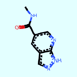 CNC(=O)c1cnc2[nH]ncc2c1